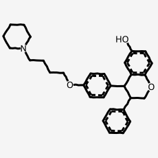 Oc1ccc2c(c1)C(c1ccc(OCCCCN3CCCCC3)cc1)C(c1ccccc1)CO2